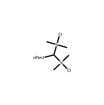 CCCCCC([Si](C)(C)Cl)[Si](C)(C)Cl